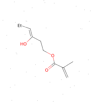 C=C(C)C(=O)OCCC(O)=CCC